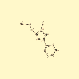 N#CCNc1cn(-c2cccnc2)nc1Cl